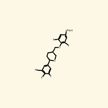 CCCCCc1cc(F)c(OCC2CCC(c3cc(F)c(F)c(F)c3)OC2)c(F)c1